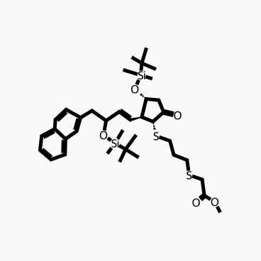 COC(=O)CSCCCS[C@H]1C(=O)C[C@@H](O[Si](C)(C)C(C)(C)C)[C@@H]1C=CC(Cc1ccc2ccccc2c1)O[Si](C)(C)C(C)(C)C